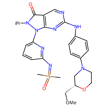 COC[C@@H]1CN(c2ccc(Nc3ncc4c(=O)n(C(C)C)n(-c5cccc(N=S(C)(C)=O)n5)c4n3)cc2)CCO1